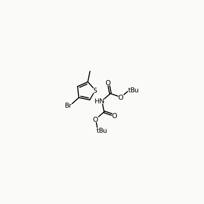 CC(C)(C)OC(=O)NC(=O)OC(C)(C)C.Cc1cc(Br)cs1